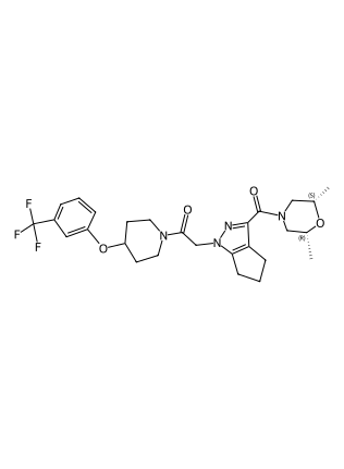 C[C@@H]1CN(C(=O)c2nn(CC(=O)N3CCC(Oc4cccc(C(F)(F)F)c4)CC3)c3c2CCC3)C[C@H](C)O1